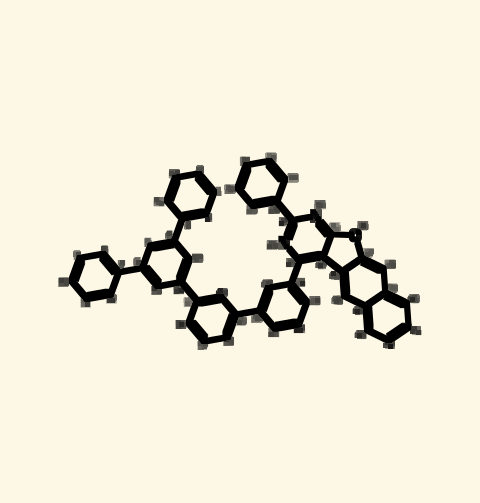 c1ccc(-c2cc(-c3ccccc3)cc(-c3cccc(-c4cccc(-c5nc(-c6ccccc6)nc6oc7cc8ccccc8cc7c56)c4)c3)c2)cc1